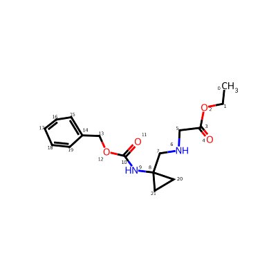 CCOC(=O)CNCC1(NC(=O)OCc2ccccc2)CC1